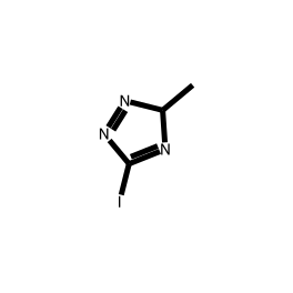 CC1N=NC(I)=N1